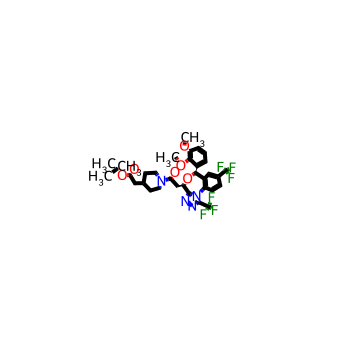 COc1cccc([C@H]2O[C@H](CC(=O)N3CCC(CC(=O)OC(C)(C)C)CC3)c3nnc(C(F)(F)F)n3-c3ccc(C(F)(F)F)cc32)c1OC